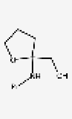 CC(C)NC1(CO)CCCO1